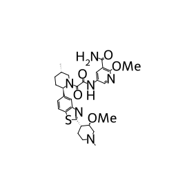 COc1ncc(NC(=O)C(=O)N2C[C@@H](C)CC[C@@H]2c2ccc3sc([C@H]4CCN(C)C[C@@H]4OC)nc3c2)cc1C(N)=O